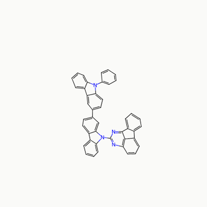 c1ccc(-n2c3ccccc3c3cc(-c4ccc5c6ccccc6n(-c6nc7c8c(cccc8n6)-c6ccccc6-7)c5c4)ccc32)cc1